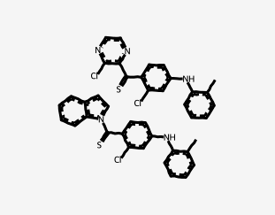 Cc1ccccc1Nc1ccc(C(=S)c2nccnc2Cl)c(Cl)c1.Cc1ccccc1Nc1ccc(C(=S)n2ccc3ccccc32)c(Cl)c1